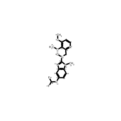 COc1ccnc(C[S+]([O-])c2nc3cc(OC(F)F)ccc3n2C)c1OC